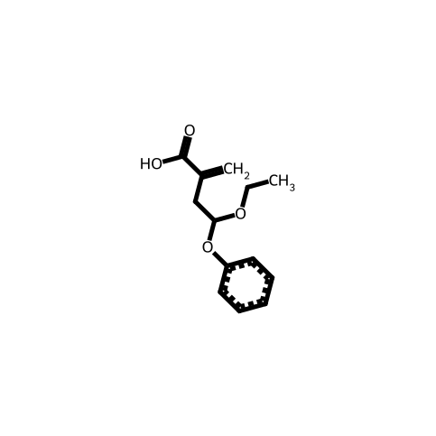 C=C(CC(OCC)Oc1ccccc1)C(=O)O